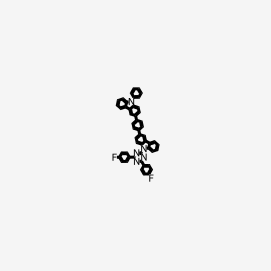 Fc1ccc(-c2nc(-c3ccc(F)cc3)nc(-n3c4ccccc4c4cc(-c5ccc(-c6ccc7c(c6)c6ccccc6n7-c6ccccc6)cc5)ccc43)n2)cc1